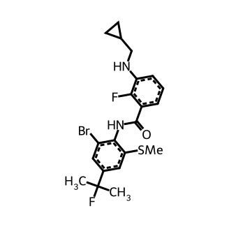 CSc1cc(C(C)(C)F)cc(Br)c1NC(=O)c1cccc(NCC2CC2)c1F